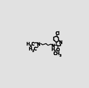 CCOc1cnc2cc(Cl)ccc2c1NCCCCCN(CC)CC